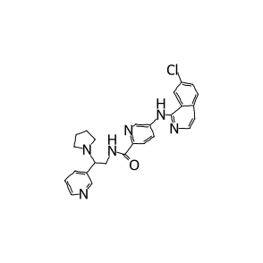 O=C(NCC(c1cccnc1)N1CCCC1)c1ccc(Nc2nccc3ccc(Cl)cc23)cn1